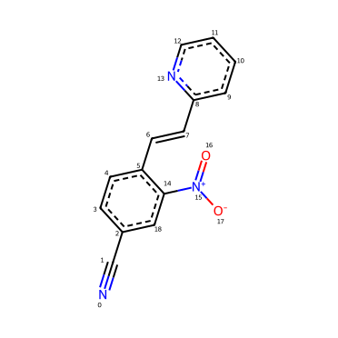 N#Cc1ccc(/C=C/c2ccccn2)c([N+](=O)[O-])c1